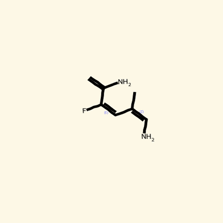 C=C(N)/C(F)=C\C(C)=C/N